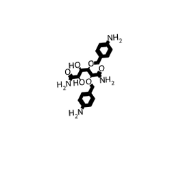 NC(=O)[C@@H](O)[C@@H](O)[C@H](OCc1ccc(N)cc1)[C@@H](OCc1ccc(N)cc1)C(N)=O